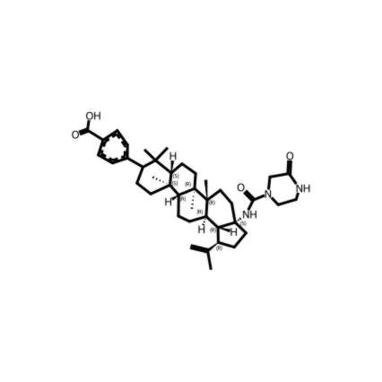 C=C(C)[C@@H]1CC[C@]2(NC(=O)N3CCNC(=O)C3)CC[C@]3(C)[C@H](CC[C@@H]4[C@@]5(C)CCC(c6ccc(C(=O)O)cc6)C(C)(C)[C@@H]5CC[C@]43C)[C@@H]12